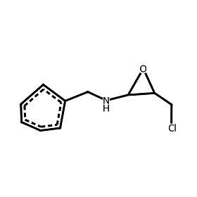 ClCC1OC1NCc1ccccc1